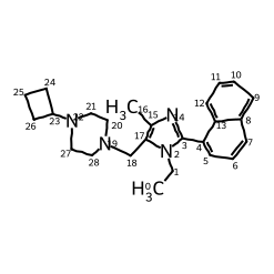 CCn1c(-c2cccc3ccccc23)nc(C)c1CN1CCN(C2CCC2)CC1